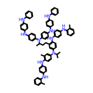 Cc1ccccc1Nc1ccc(Nc2ccc(N(c3ccc(Nc4ccc(Nc5ccccc5C)cc4)c(CCC(C)N(c4ccc(Nc5ccc(Nc6ccccc6)cc5)cc4)c4ccc(Nc5ccc(Nc6ccccc6)cc5)cc4)c3)C(C)C)cc2C)cc1